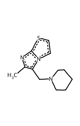 Cc1nc2sccn2c1CN1CCCCC1